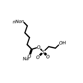 CCCCCCCCCCCCCC(=O)OS(=O)(=O)CCO.[Na]